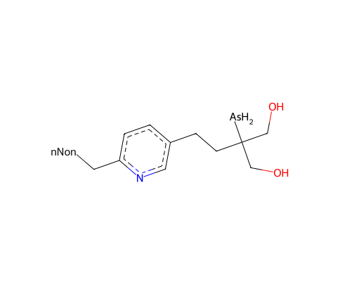 CCCCCCCCCCc1ccc(CCC([AsH2])(CO)CO)cn1